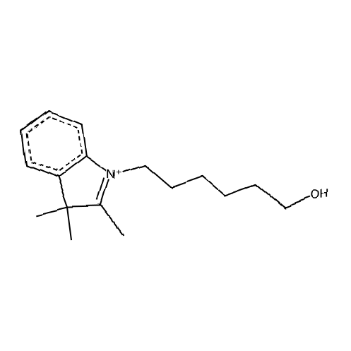 CC1=[N+](CCCCCCO)c2ccccc2C1(C)C